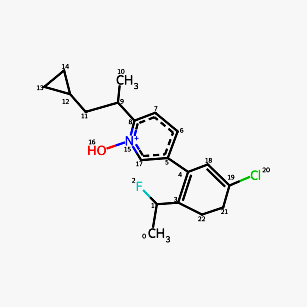 CC(F)C1=C(c2ccc(C(C)CC3CC3)[n+](O)c2)C=C(Cl)CC1